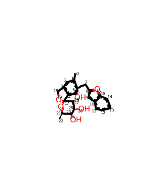 Cc1cc2c(cc1Cc1cc3ccccc3o1)[C@]1(OC2)O[C@H](C)[C@@H](O)[C@H](O)[C@H]1O